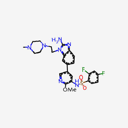 COc1ncc(-c2ccc3nc(N)n(CCN4CCN(C)CC4)c3c2)cc1NS(=O)(=O)c1ccc(F)cc1F